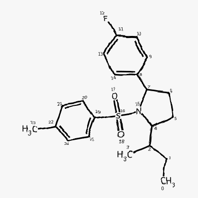 CCC(C)C1CCC(c2ccc(F)cc2)N1S(=O)(=O)c1ccc(C)cc1